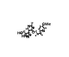 COc1ccc([C@@H](C)[C@H](C)COc2nc(C)ncc2-c2nn[nH]c2CO)nc1